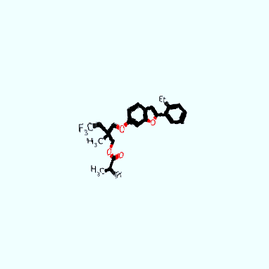 CCc1ccccc1-c1cc2ccc(OCC(C)(COC(=O)C(C)C(C)C)CC(F)(F)F)cc2o1